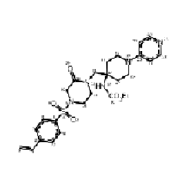 C=Cc1ccc(S(=O)(=O)N2CCN(CC3(NC(=O)OCC)CCN(c4ccncc4)CC3)C(=O)C2)cc1